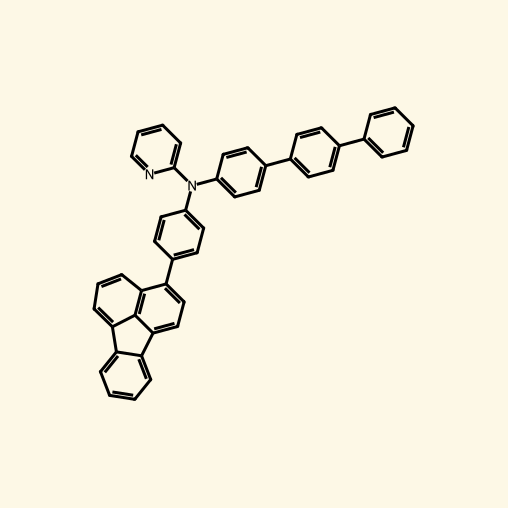 c1ccc(-c2ccc(-c3ccc(N(c4ccc(-c5ccc6c7c(cccc57)-c5ccccc5-6)cc4)c4ccccn4)cc3)cc2)cc1